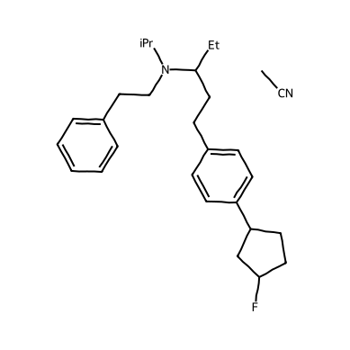 CC#N.CCC(CCc1ccc(C2CCC(F)C2)cc1)N(CCc1ccccc1)C(C)C